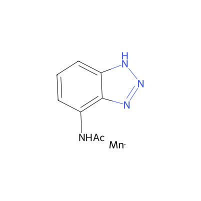 CC(=O)Nc1cccc2[nH]nnc12.[Mn]